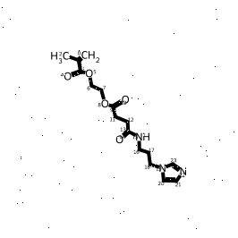 C=C(C)C(=O)OCCOC(=O)CCC(=O)NCCCn1ccnc1